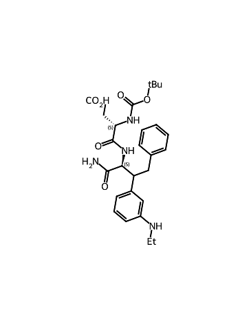 CCNc1cccc(C(Cc2ccccc2)[C@H](NC(=O)[C@H](CC(=O)O)NC(=O)OC(C)(C)C)C(N)=O)c1